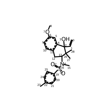 C=CC1(O)c2cc(OC)ccc2CC(N(C)S(=O)(=O)c2ccc(C)cc2)C1(C)C